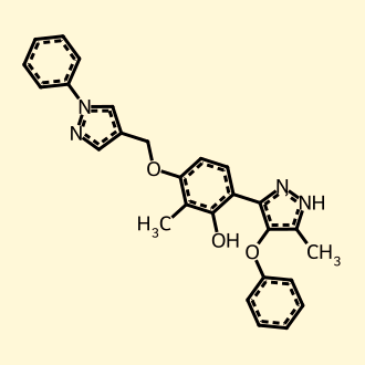 Cc1[nH]nc(-c2ccc(OCc3cnn(-c4ccccc4)c3)c(C)c2O)c1Oc1ccccc1